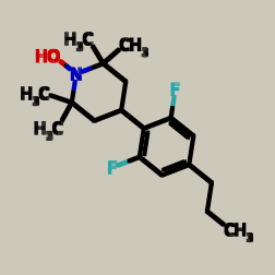 CCCc1cc(F)c(C2CC(C)(C)N(O)C(C)(C)C2)c(F)c1